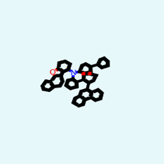 c1ccc(-c2ccc(N(c3ccccc3-c3ccccc3-c3cc4ccccc4c4ccccc34)c3cccc4oc5c6ccccc6ccc5c34)cc2)cc1